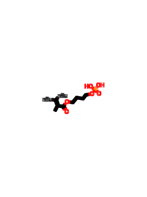 CCCCC(CCCC)=C(C)C(=O)OCCCCOP(=O)(O)O